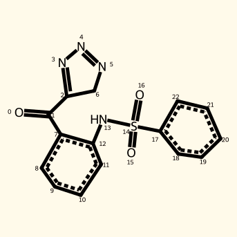 O=C(C1=NN=NC1)c1ccccc1NS(=O)(=O)c1ccccc1